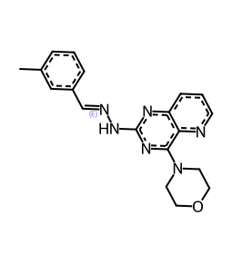 Cc1cccc(/C=N/Nc2nc(N3CCOCC3)c3ncccc3n2)c1